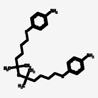 C[Si](C)(CCCCSc1ccc(N)cc1)O[Si](C)(C)CCCCSc1ccc(N)cc1